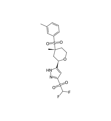 Cc1cccc(S(=O)(=O)[C@]2(C)CCO[C@@H](c3cc(S(=O)(=O)C(F)F)n[nH]3)C2)c1